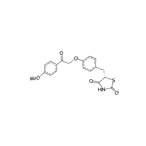 COc1ccc(C(=O)COc2ccc(C[C@@H]3SC(=O)NC3=O)cc2)cc1